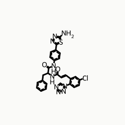 Nc1nnc(-c2ccc(NC(=O)C(Cc3ccccc3)NC(=O)C=Cc3cc(Cl)ccc3-n3cnnn3)cc2)s1